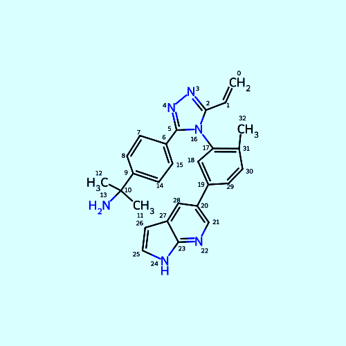 C=Cc1nnc(-c2ccc(C(C)(C)N)cc2)n1-c1cc(-c2cnc3[nH]ccc3c2)ccc1C